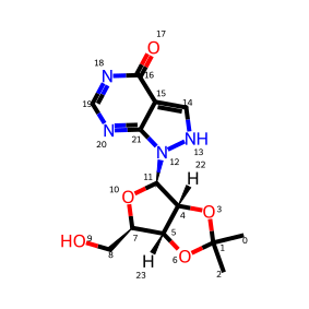 CC1(C)O[C@@H]2[C@H](O1)[C@@H](CO)O[C@H]2n1[nH]cc2c(=O)ncnc1-2